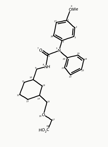 COc1ccc(N(C(=O)NCC2CCCC(COCC(=O)O)C2)c2ccccc2)cc1